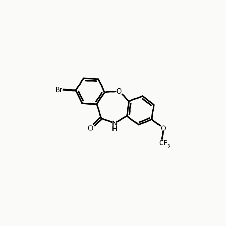 O=C1Nc2cc(OC(F)(F)F)ccc2Oc2ccc(Br)cc21